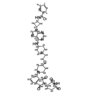 Cc1cccc(C(=O)NC2CC(n3cnc4c(NC5CCN(CCOC6CCN(c7cccc8c7C(=O)N([C@H]7CCC(=O)NC7=O)C8=O)CC6)CC5)ncnc43)C2)n1